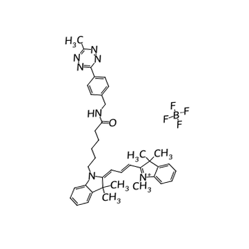 Cc1nnc(-c2ccc(CNC(=O)CCCCCN3/C(=C/C=C/C4=[N+](C)c5ccccc5C4(C)C)C(C)(C)c4ccccc43)cc2)nn1.F[B-](F)(F)F